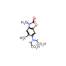 Cc1cc2c(cc1N(CC(=O)O)CC(=O)O)oc(=O)n2C